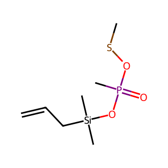 C=CC[Si](C)(C)OP(C)(=O)OSC